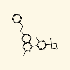 Cc1nc(-c2ccc(C3(F)COC3)cc2C)c2ccc(SCc3ccccc3)cc2n1